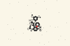 COc1cc(OC)cc(O[C@H](C(=O)O)[C@@]2(c3ccccc3F)NCC(=O)N(C)c3ccc([N+](=O)[O-])cc32)c1